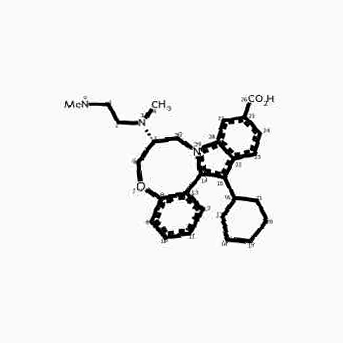 CNCCN(C)[C@H]1COc2ccccc2-c2c(C3CCCCC3)c3ccc(C(=O)O)cc3n2C1